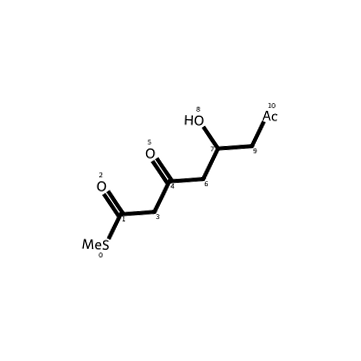 CSC(=O)CC(=O)CC(O)CC(C)=O